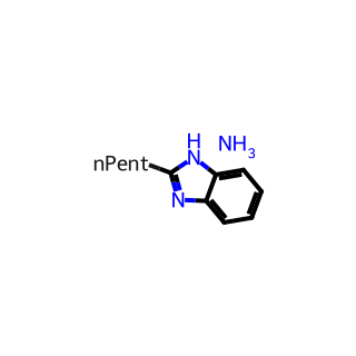 CCCCCc1nc2ccccc2[nH]1.N